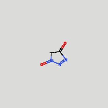 O=C1[CH][N+](=O)N=N1